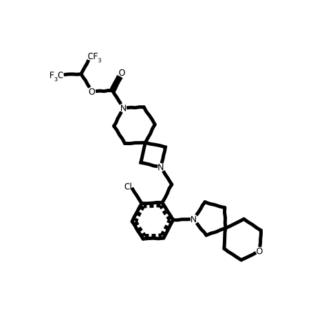 O=C(OC(C(F)(F)F)C(F)(F)F)N1CCC2(CC1)CN(Cc1c(Cl)cccc1N1CCC3(CCOCC3)C1)C2